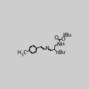 CCCCC(/C=N/C=C/c1ccc(C)cc1)CNC(=O)OC(C)(C)C